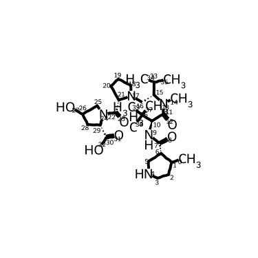 CC1CCNC[C@@H]1C(=O)N[C@H](C(=O)N(C)[C@H](CN1CCC[C@H]1C(=O)N1CC(O)C[C@H]1C(=O)O)C(C)C)C(C)(C)C